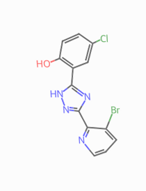 Oc1ccc(Cl)cc1-c1nc(-c2ncccc2Br)n[nH]1